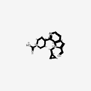 O=Cc1cc2ccnc(C3CCN(C(=O)O)CC3)c2n1CC1CC1